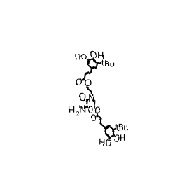 CC(C)(C)c1cc(C=CC(=O)OCCN(CCOC(=O)C=Cc2cc(O)c(O)c(C(C)(C)C)c2)C(=O)C(N)=O)cc(O)c1O